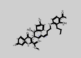 CCCc1c(OCC/C=C\C=C\[C@@H](c2c(C(=O)OC)oc3c(c2=O)=CCC(=S)C=3)[C@@H](O)c2cccc(Cl)c2)ccc(C(C)=O)c1O